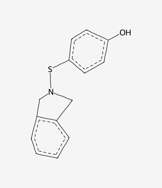 Oc1ccc(SN2Cc3ccccc3C2)cc1